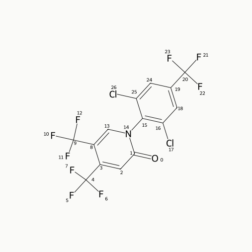 O=c1cc(C(F)(F)F)c(C(F)(F)F)cn1-c1c(Cl)cc(C(F)(F)F)cc1Cl